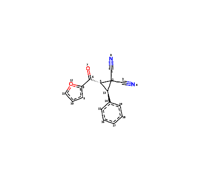 N#CC1(C#N)[C@@H](C(=O)c2ccco2)[C@@H]1c1ccccc1